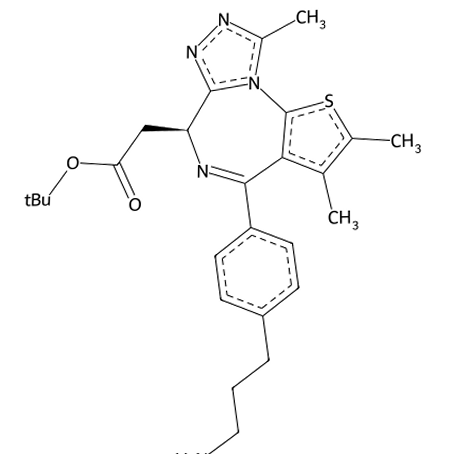 Cc1sc2c(c1C)C(c1ccc(CCCN)cc1)=N[C@@H](CC(=O)OC(C)(C)C)c1nnc(C)n1-2